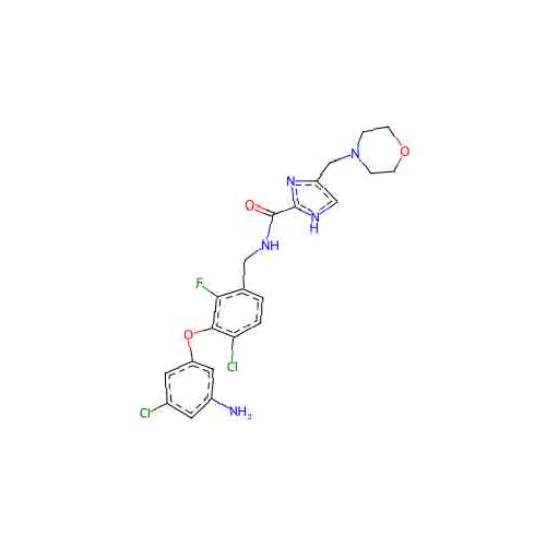 Nc1cc(Cl)cc(Oc2c(Cl)ccc(CNC(=O)c3nc(CN4CCOCC4)c[nH]3)c2F)c1